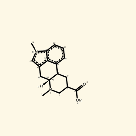 CN1CC(C(=O)O)CC2c3cccc4c3c(cn4C)C[C@H]21